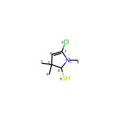 CN1C(Cl)=CC(C)(C)C1S